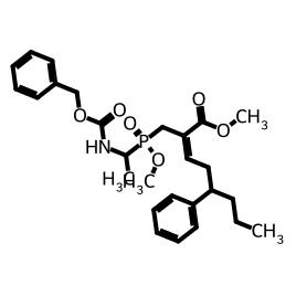 CCCC(CC=C(CP(=O)(OC)C(C)NC(=O)OCc1ccccc1)C(=O)OC)c1ccccc1